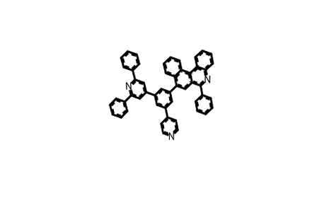 c1ccc(-c2cc(-c3cc(-c4ccncc4)cc(-c4cc5c(-c6ccccc6)nc6ccccc6c5c5ccccc45)c3)cc(-c3ccccc3)n2)cc1